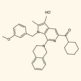 COc1cccc(Cn2c(C)c(C)c3cc(C(=O)C4CCCCC4)nc(N4CCc5ccccc5C4)c32)c1.Cl